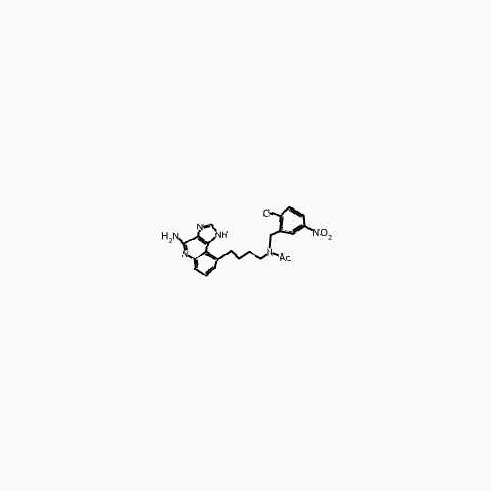 CC(=O)N(CCCCc1cccc2nc(N)c3nc[nH]c3c12)Cc1cc([N+](=O)[O-])ccc1Cl